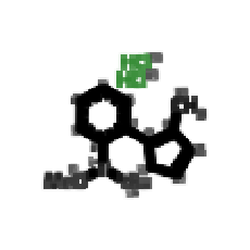 C[O][Ti]([c]1ccccc1C1=C(C)C=CC1)[C](C)(C)C.Cl.Cl